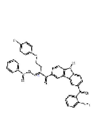 CCn1c2ccc(C(=O)/C(CCSc3ccc(Cl)cc3)=N/OS(=O)c3ccccc3)cc2c2cc(C(=O)c3ccccc3C)ccc21